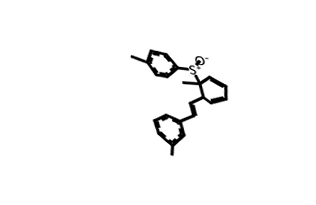 Cc1ccc([S+]([O-])C2(C)C=CC=CC2/C=C/c2cccc(C)c2)cc1